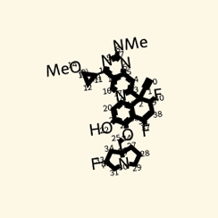 C#CC1(c2cc3nc(NC)nc([C@H]4C[C@H]4OC)c3cn2)c2ccc(O)c(OC[C@@]34CCCN3C[C@H](F)C4)c2C(F)=CC1F